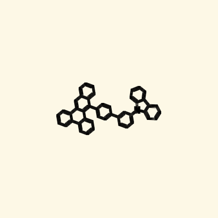 c1cc(-c2ccc(-c3c4ccccc4cc4c5ccccc5c5ccccc5c34)cc2)cc(-n2c3ccccc3c3ccccc32)c1